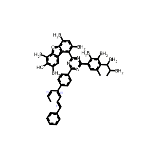 Bc1cc2c(oc3c(B)cc(B)c(-c4nc(-c5ccc(C(/C=C\C)=C/C=C/c6ccccc6)cc5)nc(-c5cc(C)c(C(B)C(B)C)c(B)c5B)n4)c32)c(B)c1O